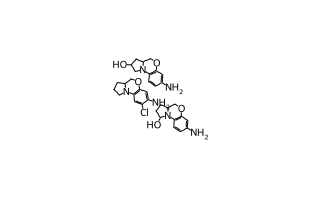 Nc1cc2c(cc1Cl)N1CCCC1CO2.Nc1ccc2c(c1)OCC1CC(O)CN21.Nc1ccc2c(c1)OCC1CCC(O)N21